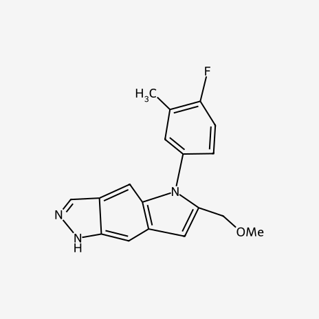 COCc1cc2cc3[nH]ncc3cc2n1-c1ccc(F)c(C)c1